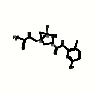 Cc1ccc(Br)nc1NC(=O)[C@@H]1C[C@@]2(CNC(=O)C(F)(F)F)C[C@H]2N1